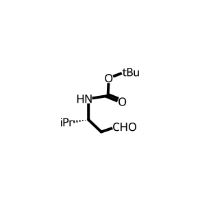 CC(C)[C@@H](CC=O)NC(=O)OC(C)(C)C